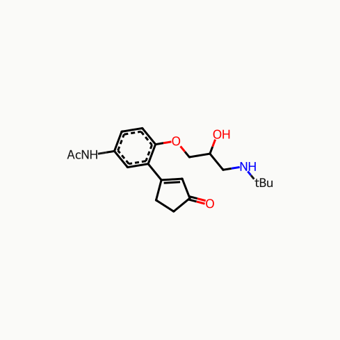 CC(=O)Nc1ccc(OCC(O)CNC(C)(C)C)c(C2=CC(=O)CC2)c1